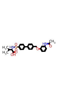 CC(=O)Nc1cccc(OCc2ccc(-c3ccc(S(=O)(=O)N[C@@H](C(=O)O)C(C)C)cc3)cc2)c1